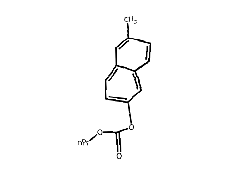 CCCOC(=O)Oc1ccc2cc(C)ccc2c1